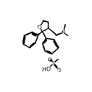 CN(C)CC1CCOC1(c1ccccc1)c1ccccc1.CS(=O)(=O)O